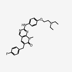 CCN(CC)CCOc1ccc(Nc2ncc3cc(Cc4ccc(F)cc4)c(=O)n(C)c3n2)cc1